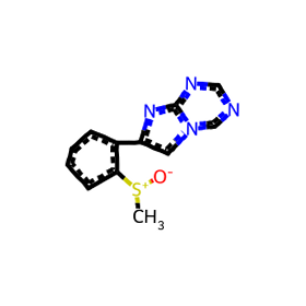 C[S+]([O-])c1ccccc1-c1cn2cncnc2n1